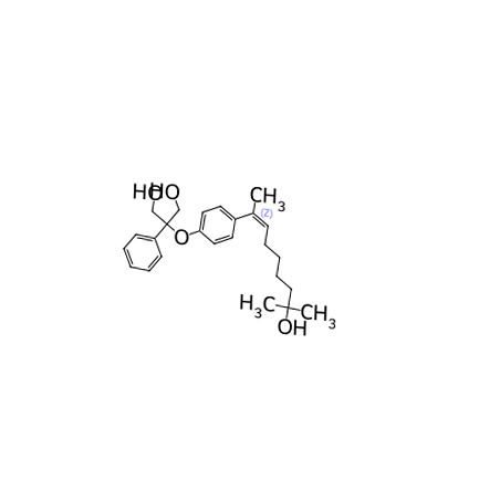 C/C(=C/CCCCC(C)(C)O)c1ccc(OC(CO)(CO)c2ccccc2)cc1